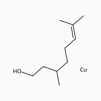 CC(C)=CCCC(C)CCO.[Cu]